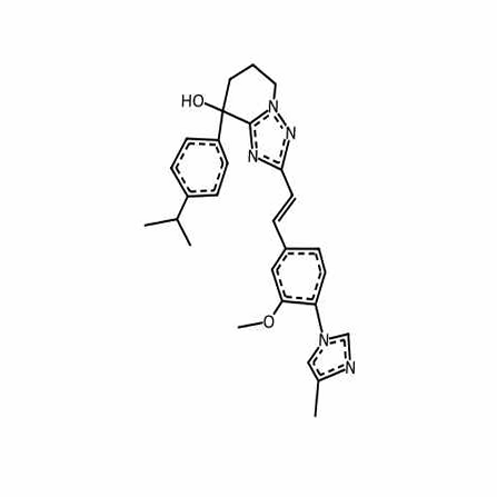 COc1cc(C=Cc2nc3n(n2)CCCC3(O)c2ccc(C(C)C)cc2)ccc1-n1cnc(C)c1